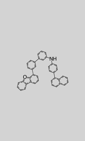 c1cc(Nc2ccc(-c3cccc4ccccc34)cc2)cc(-c2cccc(-c3cccc4c3oc3ccccc34)c2)c1